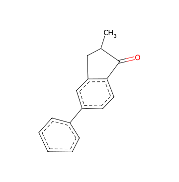 CC1Cc2cc(-c3ccccc3)ccc2C1=O